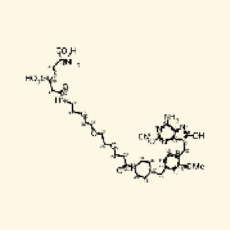 CCOc1nc(N)c2nc(O)n(Cc3ccc(CN4CCN(C(=O)CCOCCOCCOCCNC(=O)CC(SC[C@@H](N)C(=O)O)C(=O)O)CC4)cc3OC)c2n1